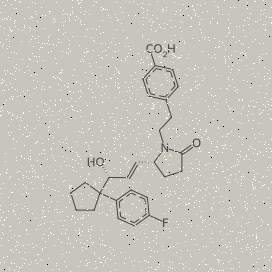 O=C(O)c1ccc(CCN2C(=O)CC[C@@H]2/C=C/[C@@H](O)C2(c3ccc(F)cc3)CCCC2)cc1